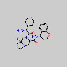 N[C@H](C(=O)N1C[C@@H]2CCCN2CC1C(=O)N[C@@H]1CCOc2ccccc21)C1CCCCC1